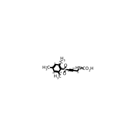 Cc1cc(C)c(S(=O)(=O)C#CCNC(=O)O)c(C)c1